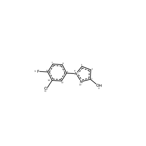 Oc1ccn(-c2ccc(F)c(Cl)c2)n1